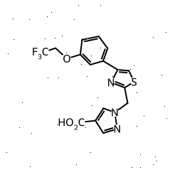 O=C(O)c1cnn(Cc2nc(-c3cccc(OCC(F)(F)F)c3)cs2)c1